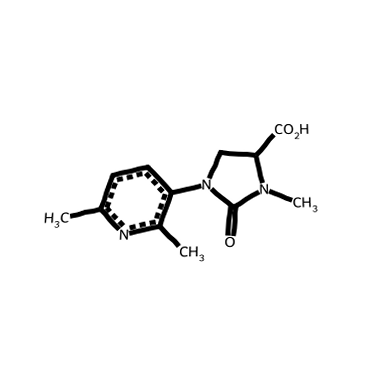 Cc1ccc(N2CC(C(=O)O)N(C)C2=O)c(C)n1